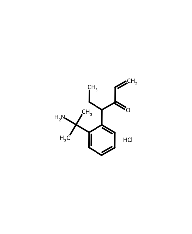 C=CC(=O)C(CC)c1ccccc1C(C)(C)N.Cl